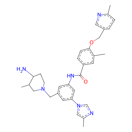 Cc1ccc(COc2ccc(C(=O)Nc3cc(CN4CCC(N)C(C)C4)cc(-n4cnc(C)c4)c3)cc2C)cn1